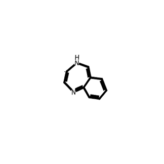 [C]1=CN=c2ccccc2=CN1